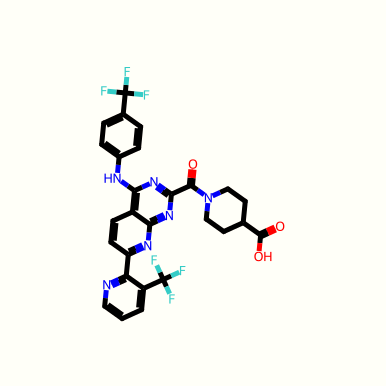 O=C(O)C1CCN(C(=O)c2nc(Nc3ccc(C(F)(F)F)cc3)c3ccc(-c4ncccc4C(F)(F)F)nc3n2)CC1